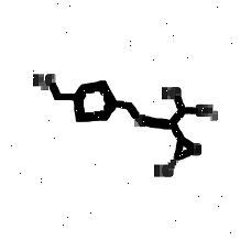 CCc1ccc(CN=C=C(C(C)O)C2O[C@@H]2O)cc1